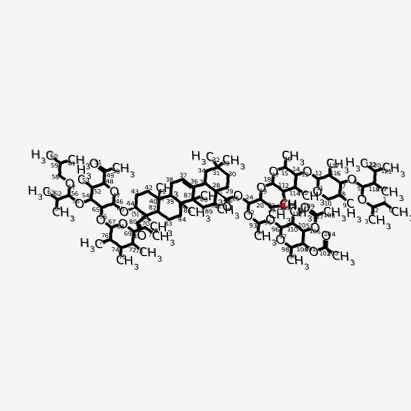 CCC(C)OC(OC1C(C)COC(OC2C(C)OC(OC(C(C)C)C(OC(=O)[C@]34CCC(C)(C)CC3C3=CCC5[C@@]6(C)CC[C@H](OC7OC(C(C)=O)C(C)C(OC(OCC(C)C)C(C)C)C7OC7OC(CC)C(C)C(C)C7C)[C@@](C)(C=O)C6CC[C@@]5(C)C3(C)CC4C)OC(C)OC3OC(C)C(OC(C)=O)C(OC(C)=O)C3C)C(C)C2C)C1C)C(C)C(C)C